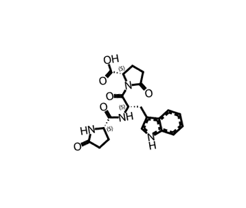 O=C1CC[C@@H](C(=O)N[C@@H](Cc2c[nH]c3ccccc23)C(=O)N2C(=O)CC[C@H]2C(=O)O)N1